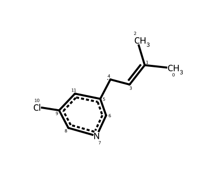 CC(C)=C[CH]c1cncc(Cl)c1